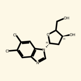 OCC1O[C@@H](n2cnc3cc(Cl)c(Cl)cc32)C[C@@H]1O